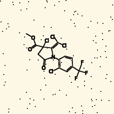 COC(=O)C1(Cl)CC(=O)N(c2ccc(C(F)(F)F)cc2Cl)C1=C(Cl)Cl